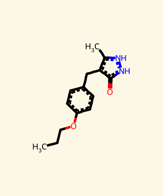 CCCOc1ccc(Cc2c(C)[nH][nH]c2=O)cc1